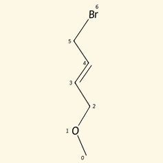 COCC=CCBr